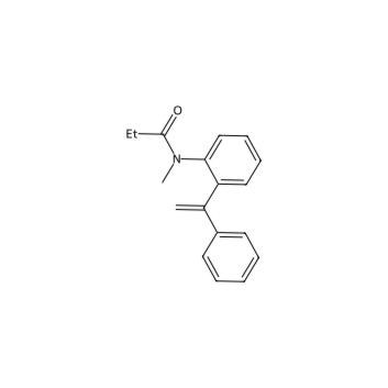 C=C(c1ccccc1)c1ccccc1N(C)C(=O)CC